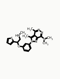 CNCC(Oc1cccc(-n2nc3c(N(C)C)nnc(C)c3c2C)c1)c1cccs1